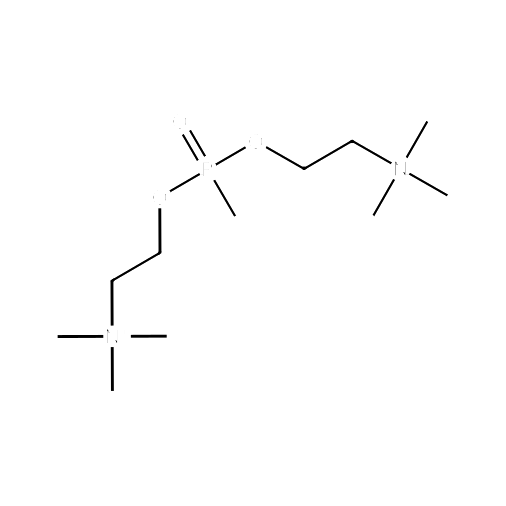 C[N+](C)(C)CCOP(C)(=O)OCC[N+](C)(C)C